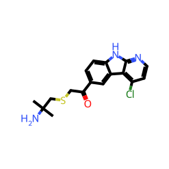 CC(C)(N)CSCC(=O)c1ccc2[nH]c3nccc(Cl)c3c2c1